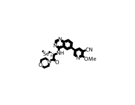 COc1ncc(-c2ccc3ncnc(N[C@@H](C[Se]C)C(=O)N4CCOCC4)c3c2)cc1C#N